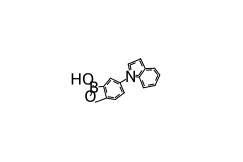 OB1OCc2ccc(-n3ccc4ccccc43)cc21